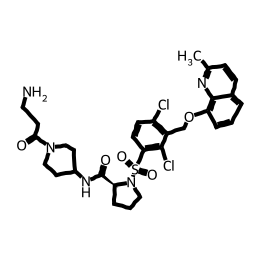 Cc1ccc2cccc(OCc3c(Cl)ccc(S(=O)(=O)N4CCC[C@H]4C(=O)NC4CCN(C(=O)CCN)CC4)c3Cl)c2n1